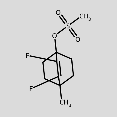 CC12CCC(OS(C)(=O)=O)(CC1)C(F)=C2F